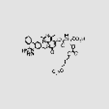 Cc1nc(C)c2c(OC(=O)NC(COC(=O)OCCCCO[N+](=O)[O-])C(=O)O)cc(=O)n(Cc3ccc(-c4ccccc4-c4nnn[nH]4)cc3)c2n1